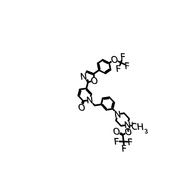 C[N+]1(OC(=O)C(F)(F)F)CCN(c2cccc(Cn3cc(-c4ncc(-c5ccc(OC(F)(F)F)cc5)o4)ccc3=O)c2)CC1